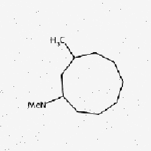 CNC1CCCCCCC(C)C1